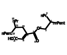 CCCCCC(CCC)COC(=O)C(=CC(=O)O)CC(CCC)CCCCC